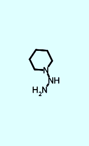 NNN1CCCCC1